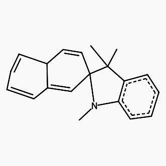 CN1c2ccccc2C(C)(C)C12C=CC1C=CC=CC1=C2